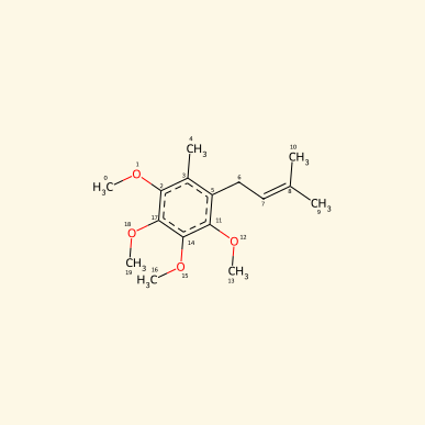 COc1c(C)c(CC=C(C)C)c(OC)c(OC)c1OC